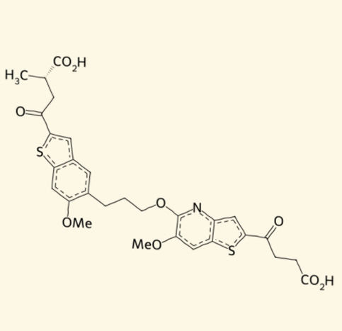 COc1cc2sc(C(=O)C[C@H](C)C(=O)O)cc2cc1CCCOc1nc2cc(C(=O)CCC(=O)O)sc2cc1OC